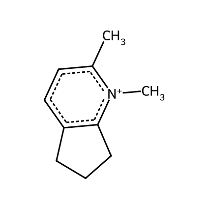 Cc1ccc2c([n+]1C)CCC2